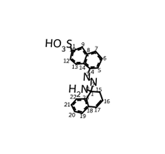 NC1(/N=N/c2cccc3cc(S(=O)(=O)O)ccc23)CC=Cc2ccccc21